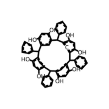 Oc1cc(O)c2cc1C(c1ccccc1)c1cc(c(O)cc1O)C(c1ccccc1)c1cc(c(O)cc1O)C(c1ccccc1)c1cc(c(O)cc1O)C2c1ccccc1